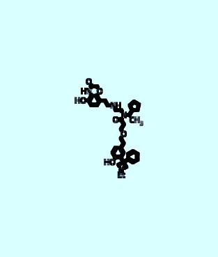 CCN1CC(c2ccccc2)(c2cc(CCOCCC(=O)N(CCNCCc3ccc(O)c4c3OCC(=O)N4)[C@H](C)C3CCCC3)ccc2O)C1